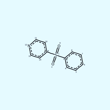 O=S(=O)(c1ccccc1)c1ccncc1